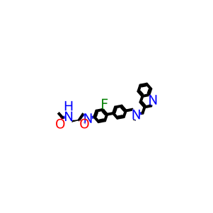 CC(=O)NC[C@H]1CN(c2ccc(-c3ccc(CN(C)Cc4cnc5ccccc5c4)cc3)c(F)c2)O1